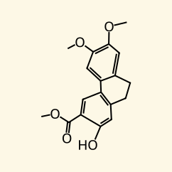 COC(=O)c1cc2c(cc1O)CCc1cc(OC)c(OC)cc1-2